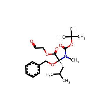 CC(C)C[C@](OCc1ccccc1)(C(=O)OCC=O)N(C)C(=O)OC(C)(C)C